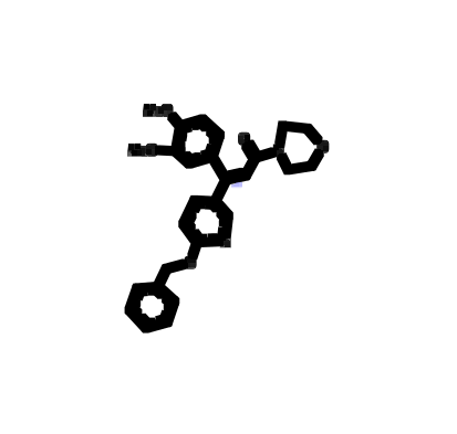 COc1ccc(/C(=C\C(=O)N2CCOCC2)c2ccc(OCc3ccccc3)nc2)cc1OC